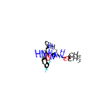 CCC[C@H](N[C@H]1CCc2cc(F)cc(F)c2C1)C(=O)Nc1cn(CCNCCOC(C)C)cn1